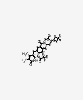 Cc1c(C)c(=O)[nH][n+](OC(=O)C(F)(F)F)c1Cc1ccc(F)c(C(=O)N2CCN(C3CC(F)(F)C3)C(=O)C2)c1